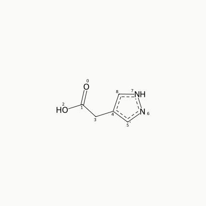 O=C(O)Cc1[c]n[nH]c1